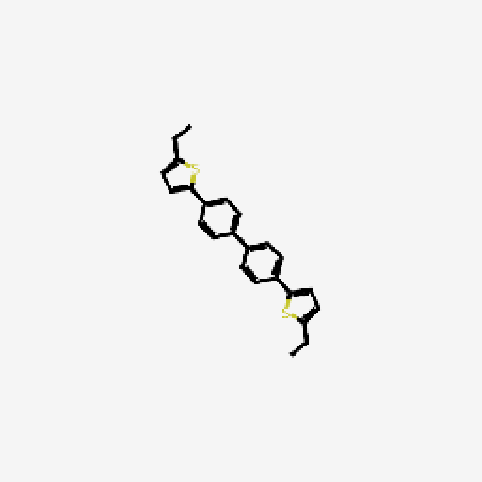 CCc1ccc(-c2ccc(-c3ccc(-c4ccc(CC)s4)cc3)cc2)s1